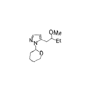 CCC(Cc1ccnn1C1CCCCO1)OC